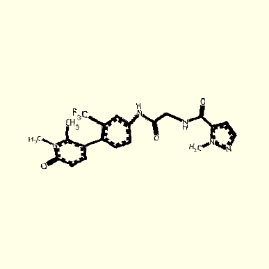 Cc1c(-c2ccc(NC(=O)CNC(=O)c3ccnn3C)cc2C(F)(F)F)ccc(=O)n1C